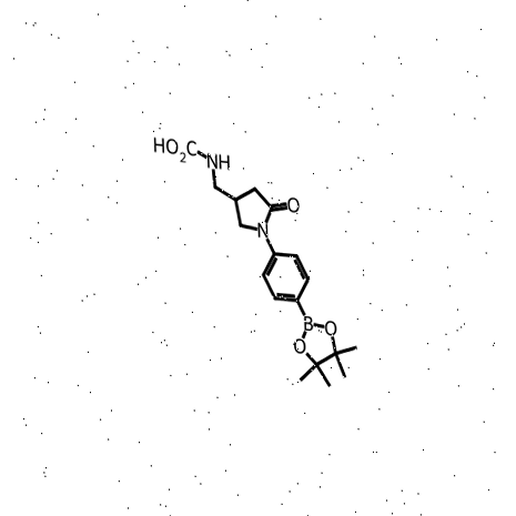 CC1(C)OB(c2ccc(N3CC(CNC(=O)O)CC3=O)cc2)OC1(C)C